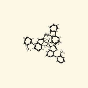 CCCCC1=Cc2c(-c3ccccc3C(F)(F)F)cccc2[CH]1[Zr]([Cl])([Cl])([c]1cccc2c1[SiH2]c1ccccc1-2)[CH]1C(CCCC)=Cc2c(-c3ccccc3C(F)(F)F)cccc21